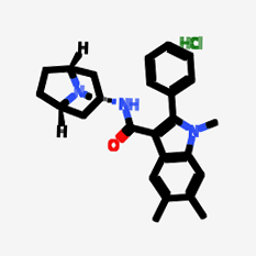 Cc1cc2c(C(=O)N[C@H]3C[C@H]4CC[C@@H](C3)N4C)c(-c3ccccc3)n(C)c2cc1C.Cl